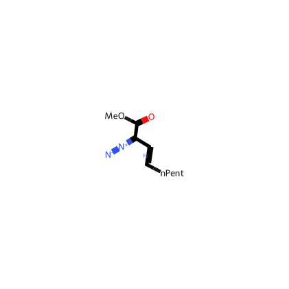 CCCCC/C=C/C(=[N+]=[N-])C(=O)OC